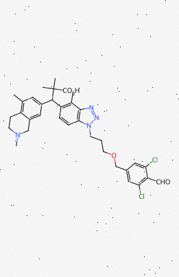 Cc1cc(C(c2ccc3c(nnn3CCCOCc3cc(Cl)c(C=O)c(Cl)c3)c2C)C(C)(C)C(=O)O)cc2c1CCN(C)C2